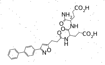 NC(=O)C(CCC(=O)O)NC(=O)C(CCC(=O)O)NC(=O)CCc1cc(-c2ccc(-c3ccccc3)cc2)no1